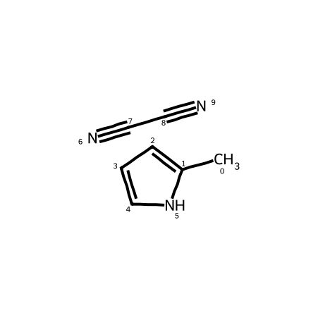 Cc1ccc[nH]1.N#CC#N